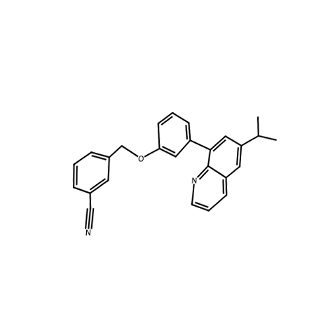 CC(C)c1cc(-c2cccc(OCc3cccc(C#N)c3)c2)c2ncccc2c1